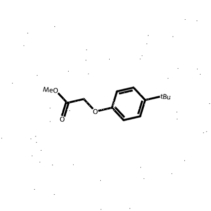 COC(=O)COc1ccc(C(C)(C)C)cc1